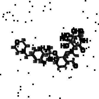 BC(B)(Oc1cccc(C=O)c1CN(C)[C@@H]1C(=O)NC(=O)C(O)(O)C1(O)O)c1ccc(CN2CCOCC2)cc1F